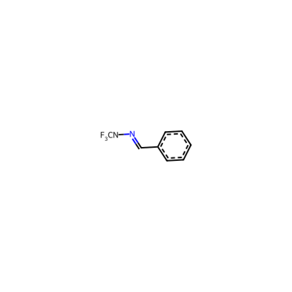 FC(F)(F)NN=Cc1ccccc1